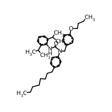 CCCCCCCCc1ccc(N(Cc2ccc(OCCCC)cc2)C(=O)Nc2c(C(C)C)cccc2C(C)C)cc1